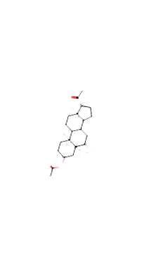 CC(=O)O[C@H]1CC[C@]2(C)C3CC[C@@]4(C)C(CC[C@@H]4C(C)=O)C3C[C@@H](O)[C@@]2(Br)C1